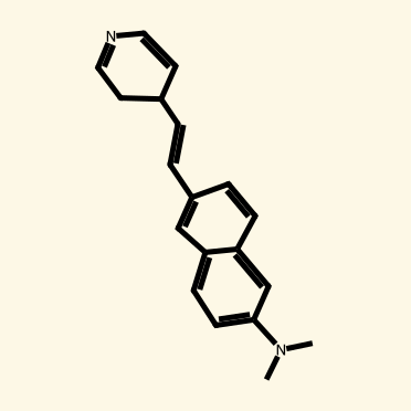 CN(C)c1ccc2cc(/C=C/C3C=CN=CC3)ccc2c1